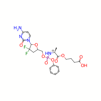 C[C@H](NP(=O)(OCC1CC(F)(F)C(n2ccc(N)nc2=O)O1)Oc1ccccc1)C(=O)OCCCC(=O)O